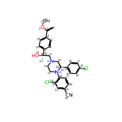 C=C(OC(C)(C)C)c1ccc([C@](C)(O)CN2CCN(c3ccc(C#N)cc3Cl)[C@H](c3ccc(Cl)cc3)C2)cc1